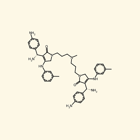 Cc1cccc(NC2=C([C@H](N)c3ccc(N)cc3)C(=O)N(CCCN(C)CCCN3CC(Nc4cccc(C)c4)=C([C@H](N)c4ccc(N)cc4)C3=O)C2)c1